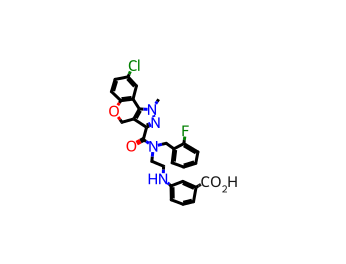 Cn1nc(C(=O)N(CCNc2cccc(C(=O)O)c2)Cc2ccccc2F)c2c1-c1cc(Cl)ccc1OC2